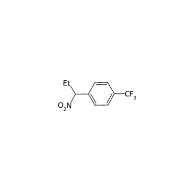 CCC(c1ccc(C(F)(F)F)cc1)[N+](=O)[O-]